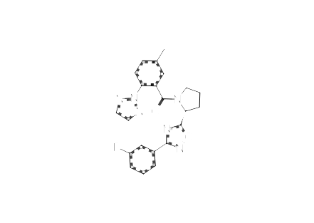 Cc1ccc(-n2nccn2)c(C(=O)N2CCC[C@H]2c2nc(-c3cccc(F)c3)no2)c1